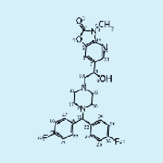 Cn1c(=O)oc2cc(C(O)CN3CCN(C(c4ccc(F)cc4)c4ccc(F)cc4)CC3)cnc21